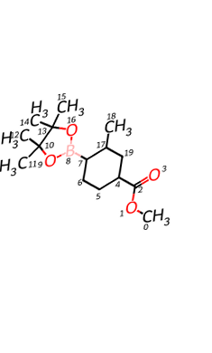 COC(=O)C1CCC(B2OC(C)(C)C(C)(C)O2)C(C)C1